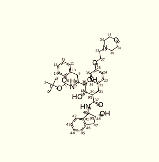 CC(C)(C)OC(=O)N[C@@H](Cc1ccccc1)[C@@H](O)[C@@H](O)[C@@H](Cc1ccc(OCCN2CCOCC2)cc1)C(=O)N[C@H]1c2ccccc2C[C@H]1O